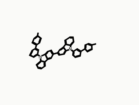 Cc1ccc(-c2cccc(-n3c4ccccc4c4cc(-c5ccc6c(c5)c5ccccc5n6-c5cccc(-c6ccc(C)cc6)c5)ccc43)c2)cc1